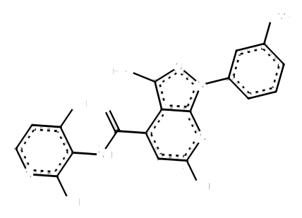 COc1cccc(-n2nc(C)c3c(C(=O)Nc4c(C)ccnc4C)cc(C)nc32)c1